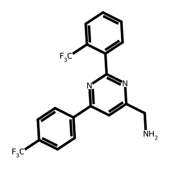 NCc1cc(-c2ccc(C(F)(F)F)cc2)nc(-c2ccccc2C(F)(F)F)n1